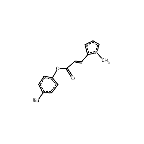 CCC(C)c1ccc(OC(=O)/C=C/c2cccn2C)cc1